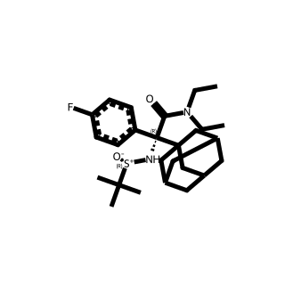 CCN(CC)C(=O)[C@](N[S@@+]([O-])C(C)(C)C)(c1ccc(F)cc1)C12CC3CC(CC(C3)C1)C2